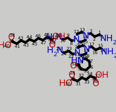 NCCCN1CCN(CCCN)CC1.NCCCN1CCN(CCCN)CC1.O=C(O)CCCCC(=O)O.O=C(O)CCCCCCCCC(=O)O.O=C1CCCCCN1